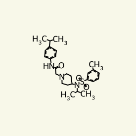 Cc1cccc(S(=O)(=O)N(C(C)C)C2CCN(CC(=O)Nc3ccc(C(C)C)cc3)CC2)c1